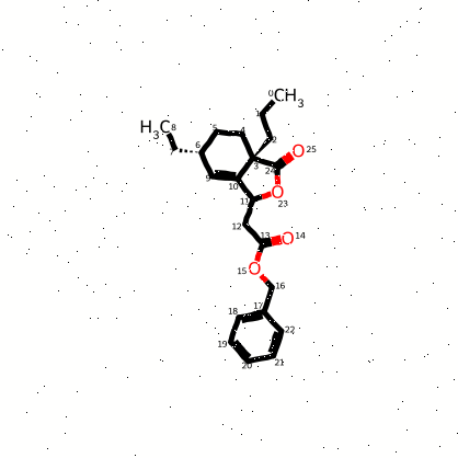 CCC[C@]12CC[C@@H](CC)C=C1C(CC(=O)OCc1ccccc1)OC2=O